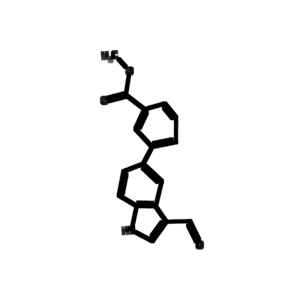 COC(=O)c1cccc(-c2ccc3[nH]cc(C=O)c3c2)c1